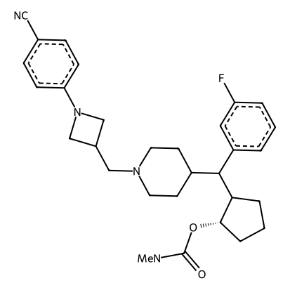 CNC(=O)O[C@H]1CCCC1C(c1cccc(F)c1)C1CCN(CC2CN(c3ccc(C#N)cc3)C2)CC1